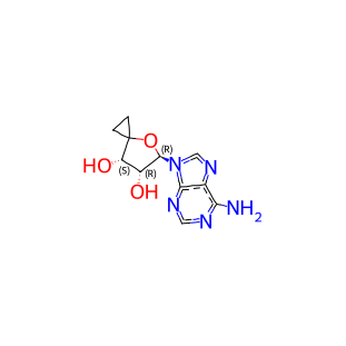 Nc1ncnc2c1ncn2[C@@H]1OC2(CC2)[C@@H](O)[C@H]1O